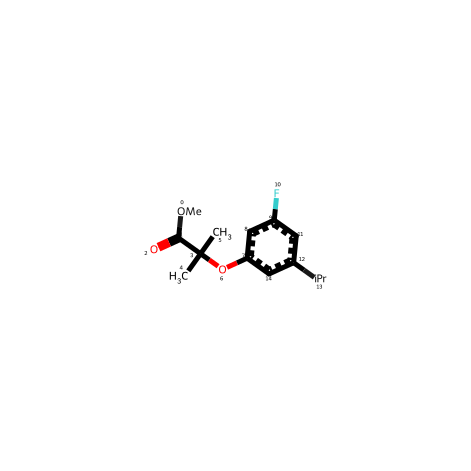 COC(=O)C(C)(C)Oc1cc(F)cc(C(C)C)c1